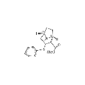 COC(=O)C1C(Sc2ccccc2)C[C@@H]2CC[C@H]1N2C